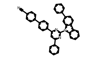 N#Cc1ccc(-c2ccc(-c3cc(-c4ccccc4)nc(-n4c5ccccc5c5ccc(-c6ccccc6)cc54)n3)cc2)cc1